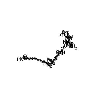 NC(=O)CC[C@H](NC(=O)COCCOCCNC(=O)COCCOCCNC(=O)CC[C@H](NC(=O)CCCCCCCCCCCCCCCCC(=O)O)C(=O)O)C(=O)CN[C@H]1CSSC[C@@H](C(=O)O)NCC1=O